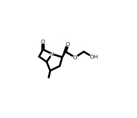 CC1CC(C(=O)OCO)N2C(=O)CC12